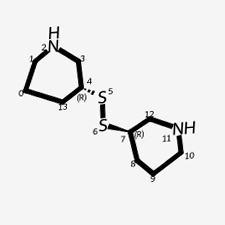 C1CNC[C@H](SS[C@@H]2CCCNC2)C1